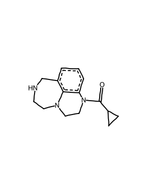 O=C(C1CC1)N1CCN2CCNCc3cccc1c32